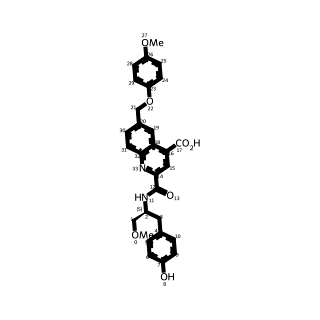 COC[C@H](Cc1ccc(O)cc1)NC(=O)c1cc(C(=O)O)c2cc(COc3ccc(OC)cc3)ccc2n1